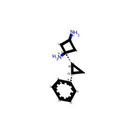 NC1CC(N)([C@@H]2C[C@@H]2c2ccccc2)C1